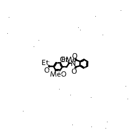 CCC(=O)c1cc(OC)c(CC(CC)N2C(=O)c3ccccc3C2=O)cc1OC